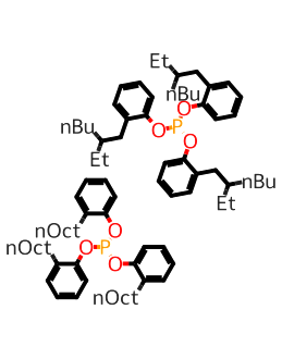 CCCCC(CC)Cc1ccccc1OP(Oc1ccccc1CC(CC)CCCC)Oc1ccccc1CC(CC)CCCC.CCCCCCCCc1ccccc1OP(Oc1ccccc1CCCCCCCC)Oc1ccccc1CCCCCCCC